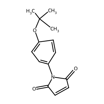 CC(C)(C)Oc1ccc(N2C(=O)C=CC2=O)cc1